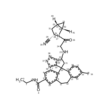 CCNC(=O)c1ccc2c(c1)CCc1cc(F)ccc1C2(CCNCC(=O)N1[C@H](C#N)C[C@@H]2C[C@@H]21)c1nnn[nH]1